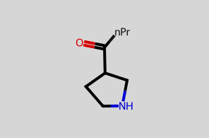 [CH2]CCC(=O)C1CCNC1